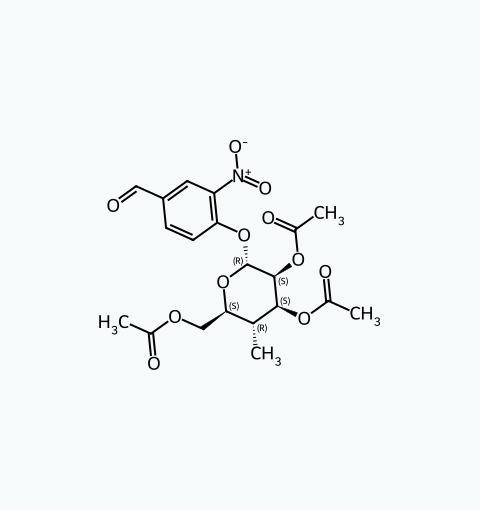 CC(=O)OC[C@H]1O[C@H](Oc2ccc(C=O)cc2[N+](=O)[O-])[C@@H](OC(C)=O)[C@@H](OC(C)=O)[C@@H]1C